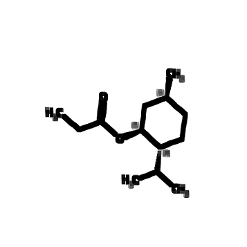 CCC(=O)O[C@H]1C[C@@H](C)CC[C@@H]1C(C)C